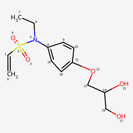 C=CS(=O)(=O)N(CC)c1ccc(OCC(O)CO)cc1